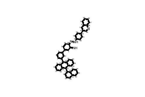 N=C1C=C(c2cccc(-c3c4ccccc4c(-c4cccc5ccccc45)c4ccccc34)c2)C=C/C1=N/Nc1ccc(-c2cnc3ccccc3c2)cc1